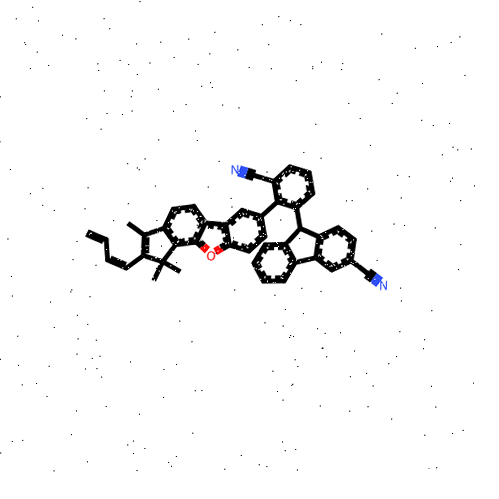 C=C/C=C\C1=C(C)c2ccc3c(oc4ccc(-c5c(C#N)cccc5C5c6ccccc6-c6cc(C#N)ccc65)cc43)c2C1(C)C